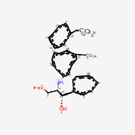 N[C@@H](CO)[C@@H](O)c1ccccc1.O=C(O)c1ccccc1.O=C(O)c1ccccc1